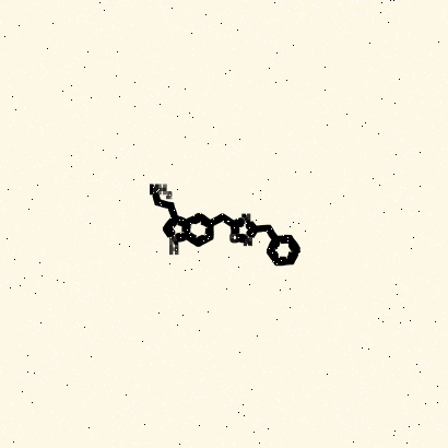 NCCc1c[nH]c2ccc(Cc3nc(Cc4ccccc4)no3)cc12